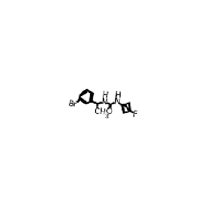 CC(NC(=O)NC12CC(F)(C1)C2)c1cccc(Br)c1